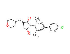 Cc1cc(-c2ccc(Cl)cc2)cc(C)c1C1C(=O)C/C(=C\C2CCOCC2)C1=O